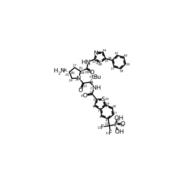 CC(C)(C)[C@H](NC(=O)c1cc2cc(C(F)(F)P(=O)(O)O)ccc2s1)C(=O)N1C[C@H](N)C[C@H]1C(=O)Nc1ncc(-c2ccccc2)s1